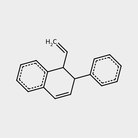 C=CC1c2ccccc2C=CC1c1ccccc1